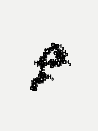 CNS(=O)(=O)C[C@H]1CC[C@H](N(C)c2ncnc3c2ccn3C(=O)N(C)CCN(C)C(=O)OCc2ccc(/N=N/c3ccc(O)c(C(=O)NCCCCC(=O)Oc4c(OC)ccc5cc6[n+](cc45)CCc4cc5c(cc4-6)OCO5)c3)cc2)CC1